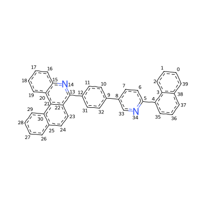 c1ccc2c(-c3ccc(-c4ccc(-c5nc6ccccc6c6c5ccc5ccccc56)cc4)cn3)cccc2c1